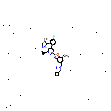 Cc1cc(CNCC2CCC2)cc2nc(-c3cc(-c4ccc(F)cc4-c4nncn4C)cc(C4CC4)n3)oc12